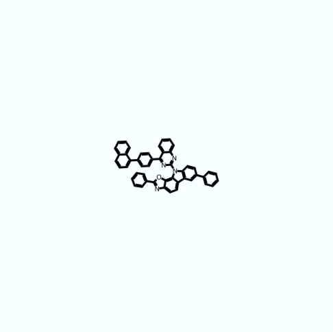 c1ccc(-c2ccc3c(c2)c2ccc4nc(-c5ccccc5)oc4c2n3-c2nc(-c3ccc(-c4cccc5ccccc45)cc3)c3ccccc3n2)cc1